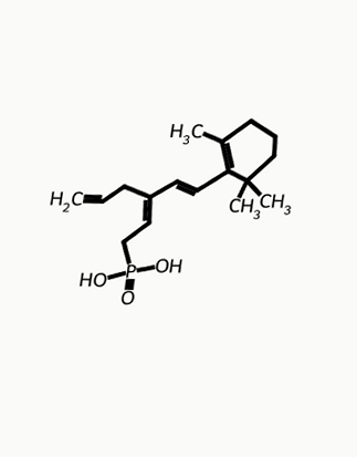 C=CCC(C=CC1=C(C)CCCC1(C)C)=CCP(=O)(O)O